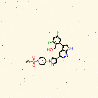 CCCS(=O)(=O)N1CCC(n2cc(-c3cnc4[nH]cc(-c5cc(F)cc(F)c5CO)c4c3)cn2)CC1